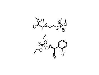 CCOP(=S)(OCC)O/N=C(\C#N)c1ccccc1Cl.CNC(=O)C(C)SCCSP(=O)(OC)OC